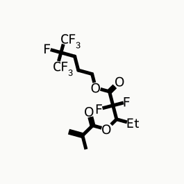 C=C(C)C(=O)OC(CC)C(F)(F)C(=O)OCCCC(F)(C(F)(F)F)C(F)(F)F